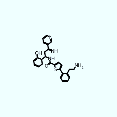 N=C(CC(NC(=O)c1ccc(-c2ccccc2CCN)s1)C1CC=CC=C1O)c1cccnc1